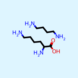 NCCCCC(N)C(=O)O.NCCCCN